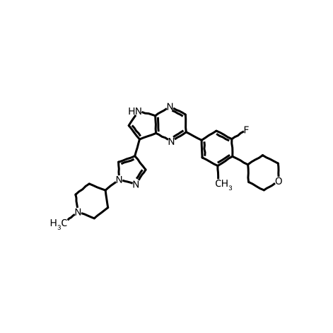 Cc1cc(-c2cnc3[nH]cc(-c4cnn(C5CCN(C)CC5)c4)c3n2)cc(F)c1C1CCOCC1